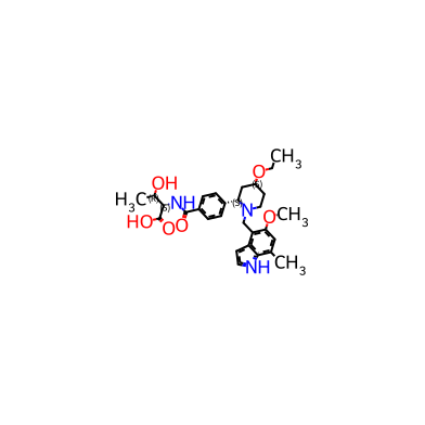 CCO[C@H]1CCN(Cc2c(OC)cc(C)c3[nH]ccc23)[C@H](c2ccc(C(=O)N[C@H](C(=O)O)[C@@H](C)O)cc2)C1